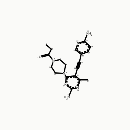 CCC(=O)N1CCN(c2nc(N)nc(C)c2C#Cc2ccc(N)nc2)CC1